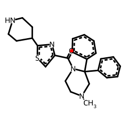 CN1CCN(C(=O)c2csc(C3CCNCC3)n2)C(c2ccccc2)(c2ccccc2)C1